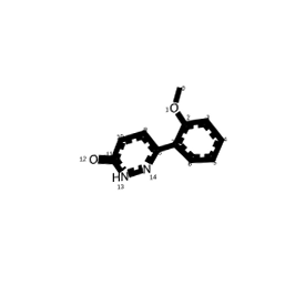 COc1c[c]ccc1-c1ccc(=O)[nH]n1